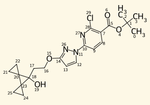 CC(C)(C)OC(=O)c1ccc(-n2ccc(OCCC3(O)C4(CC4)C34CC4)n2)nc1Cl